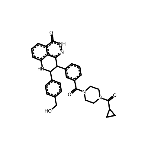 O=C(c1cccc(C2c3n[nH]c(=O)c4cccc(c34)NC2c2ccc(CO)cc2)c1)N1CCN(C(=O)C2CC2)CC1